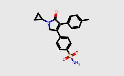 Cc1ccc(C2=C(c3ccc(S(N)(=O)=O)cc3)CN(C3CC3)C2=O)cc1